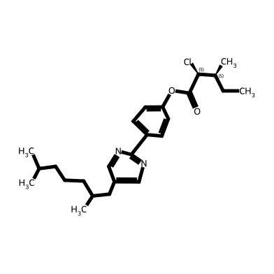 CC[C@H](C)[C@H](Cl)C(=O)Oc1ccc(-c2ncc(CC(C)CCCC(C)C)cn2)cc1